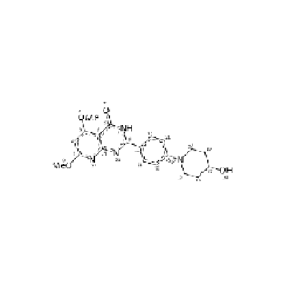 COc1cc(OC)c2c(=O)[nH]c(-c3ccc(N4CCC(O)CC4)cc3)nc2n1